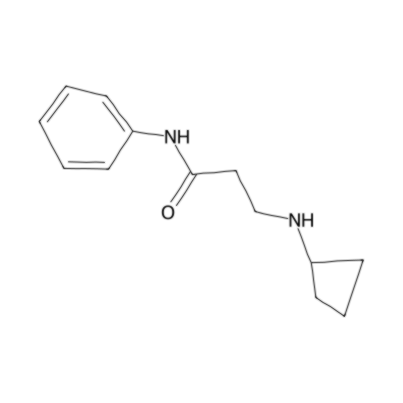 O=C(CCNC1CCC1)Nc1ccccc1